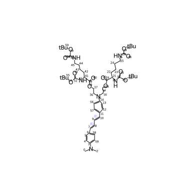 CN(C)c1ccc(/C=C/C=C/c2ccc(N(CCOC(=O)C(CCCCNC(=O)OC(C)(C)C)NC(=O)OC(C)(C)C)CCOC(=O)C(CCCCNC(=O)OC(C)(C)C)NC(=O)OC(C)(C)C)cc2)cc1